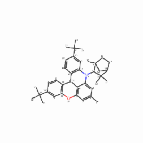 Cc1cc2c3c(c1)N(C1C4(C)CCC(C4)C1(C)C)c1cc(C(C)(C)C)ccc1B3c1ccc(C(C)(C)C)cc1O2